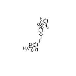 CN(C)C(=O)c1ccc(CCCC2CC3(CCN(C(=O)C(C)(C)c4ccccc4)CC3)C2)cc1Cl